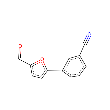 N#Cc1cccc(-c2ccc(C=O)o2)c1